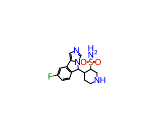 NS(=O)(=O)C1CNCCC1C1c2ccc(F)cc2-c2cncn21